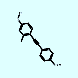 CCCCCc1ccc(C#Cc2ccc(OCC)cc2C)cc1